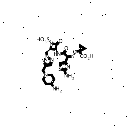 Nc1nc(/C(=N/OC2(C(=O)O)CC2)C(=O)N[C@@H]2C(=O)N(S(=O)(=O)O)[C@@H]2Cn2ncc(CN3CCC(N)CC3)n2)cs1